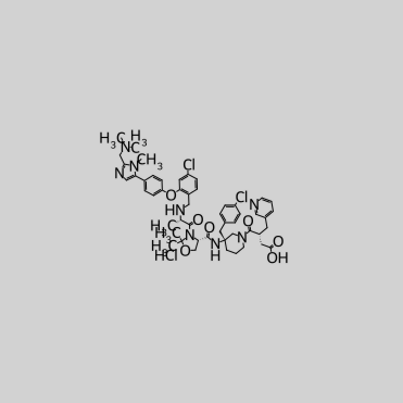 C[C@H](NCc1ccc(Cl)cc1Oc1ccc(-c2cnc(CN(C)C)n2C)cc1)C(=O)N1[C@H](C(=O)N[C@@]2(Cc3ccc(Cl)cc3)CCCN(C(=O)[C@@H](CC(=O)O)Cc3cccnc3)C2)COC1(C)C.Cl